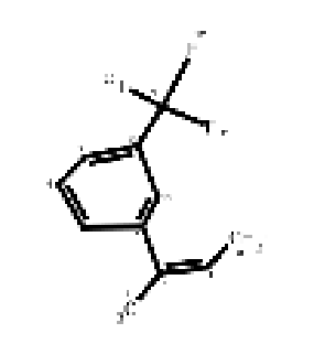 [CH2]/C=C(/C)c1cccc(C(F)(F)F)c1